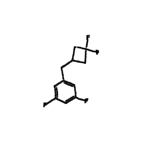 Fc1cc(F)cc(CC2CC(F)(F)C2)c1